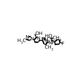 Cc1cn(-c2ccc(-c3cc(C)c(N[C@H](c4ccc(F)cc4)C(C)(C)O)nn3)nc2CO)cn1